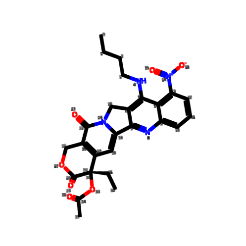 CCCCNc1c2c(nc3cccc([N+](=O)[O-])c13)-c1cc3c(c(=O)n1C2)COC(=O)[C@@]3(CC)OC(C)=O